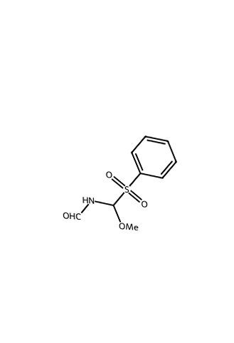 COC(NC=O)S(=O)(=O)c1ccccc1